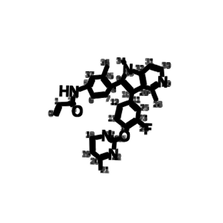 C=CC(=O)Nc1ccc(-c2c(-c3ccc(Oc4nccc(C)n4)c(F)c3)c3c(C)nccc3n2C)c(C)c1